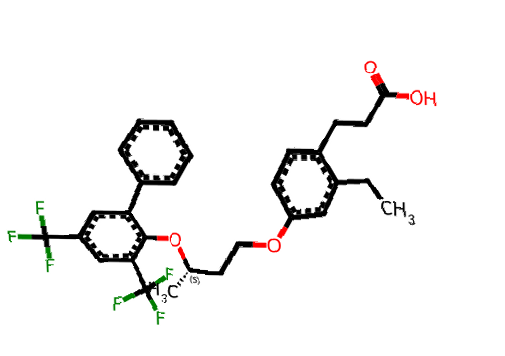 CCc1cc(OCC[C@H](C)Oc2c(-c3ccccc3)cc(C(F)(F)F)cc2C(F)(F)F)ccc1CCC(=O)O